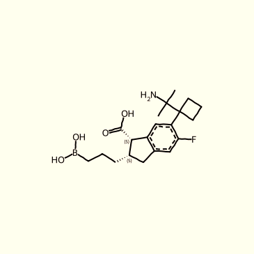 CC(C)(N)C1(c2cc3c(cc2F)C[C@H](CCCB(O)O)[C@@H]3C(=O)O)CCC1